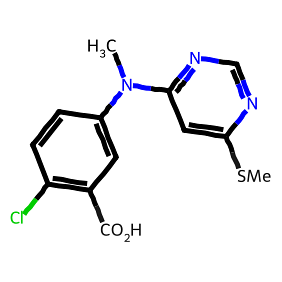 CSc1cc(N(C)c2ccc(Cl)c(C(=O)O)c2)ncn1